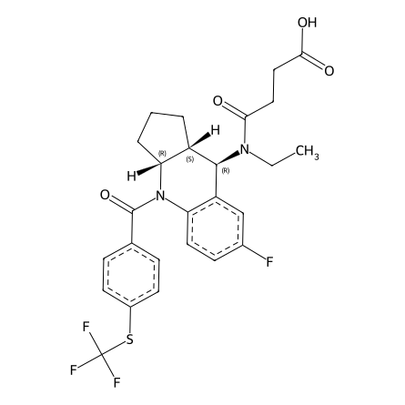 CCN(C(=O)CCC(=O)O)[C@H]1c2cc(F)ccc2N(C(=O)c2ccc(SC(F)(F)F)cc2)[C@@H]2CCC[C@@H]21